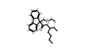 CCCCC(CC)CC(=O)C1(COCC)c2ccccc2-c2ccccc21